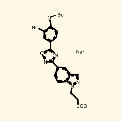 CC[C@H](C)Oc1ccc(-c2nc(-c3ccc4c(cnn4CCC(=O)[O-])c3)no2)cc1C#N.[Na+]